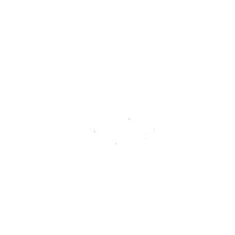 Cc1ccc(S(=O)(=O)CC(O[C]=O)C(=O)OC2CCCCC2C)cc1